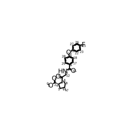 COC(=O)[C@@H]1C[C@H](C)CN1C(=O)CNC(=O)c1ccc(Oc2ccc(F)cc2)cc1